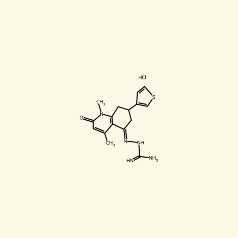 Cc1cc(=O)n(C)c2c1C(=NNC(=N)N)CC(c1ccsc1)C2.Cl